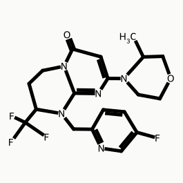 CC1COCCN1c1cc(=O)n2c(n1)N(Cc1ccc(F)cn1)C(C(F)(F)F)CC2